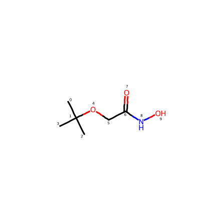 CC(C)(C)OCC(=O)NO